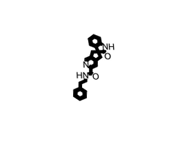 O=C(NCCc1ccccc1)c1cc2c(cn1)CC1(C2)C(=O)Nc2ccccc21